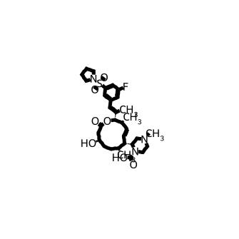 C/C(=C\c1cc(F)cc(S(=O)(=O)N2CCCC2)c1)[C@H]1OC(=O)C[C@H](O)CC[C@H](C)[C@@H](C2CN(C)CCN2C(=O)O)/C=C/[C@@H]1C